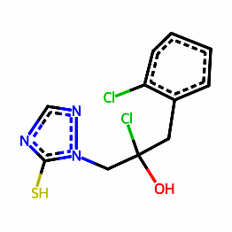 OC(Cl)(Cc1ccccc1Cl)Cn1ncnc1S